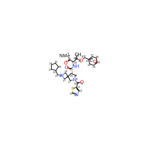 CNC(=O)[C@@H](NC(=O)[C@@H]1CN(C(=O)c2cncs2)CC12CN(CC1CCCC1)C2)[C@@H](C)OCC12CCC(CC1)OC2